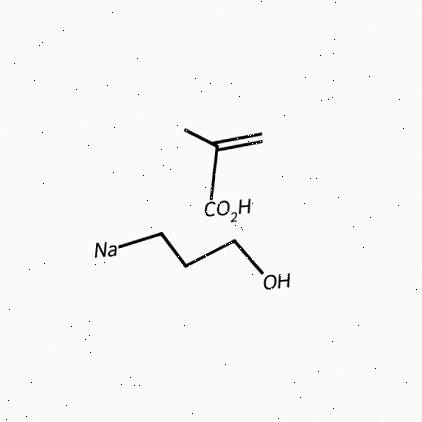 C=C(C)C(=O)O.OCC[CH2][Na]